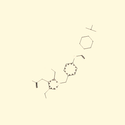 CCc1nn(Cc2ccc(NC(=O)[C@H]3CC[C@@H](C(F)(F)F)CC3)cc2)c(CC)c1CC(=O)O